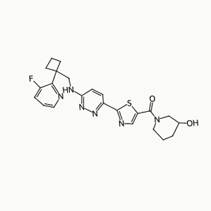 O=C(c1cnc(-c2ccc(NCC3(c4ncccc4F)CCC3)nn2)s1)N1CCCC(O)C1